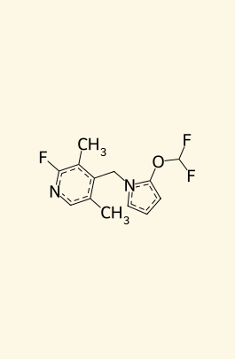 Cc1cnc(F)c(C)c1Cn1cccc1OC(F)F